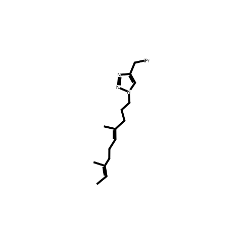 C/C=C(\C)CC/C=C(\C)CCCn1cc(CC(C)C)nn1